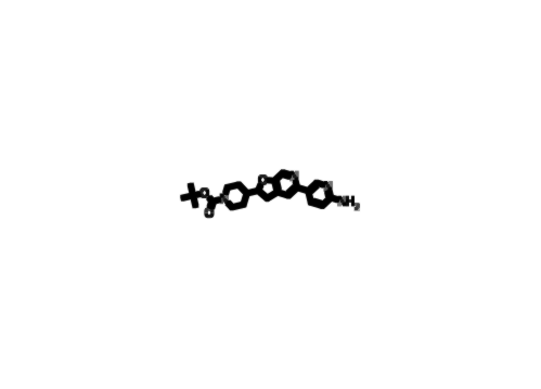 CC(C)(C)OC(=O)N1CCC(C2Cc3cc(-c4ccc(N)nc4)ncc3O2)CC1